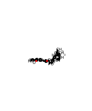 CCOC(=O)c1c(C)nc(Nc2cnn(C)c2)nc1NC1CCC(N2CCN(C(=O)[C@@H]3C[C@H]3C(=O)N3CCC(CCN4CCN(c5ccc(C6CCC(=O)NC6=O)cc5)CC4)CC3)CC2)CC1